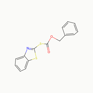 O=C(OCc1ccccc1)Sc1nc2ccccc2s1